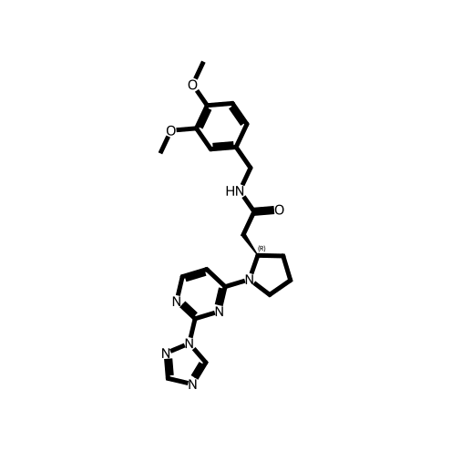 COc1ccc(CNC(=O)C[C@H]2CCCN2c2ccnc(-n3cncn3)n2)cc1OC